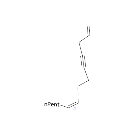 C=CCC#CCC/C=C\CCCCC